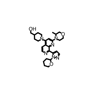 CC1COCCN1c1cc(N2CCC(CO)CC2)c2ccnc(-c3ccnn3C3CCCCO3)c2n1